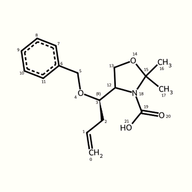 C=CC[C@@H](OCc1ccccc1)C1COC(C)(C)N1C(=O)O